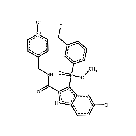 COP(=O)(c1cccc(CF)c1)c1c(C(=O)NCc2cc[n+]([O-])cc2)[nH]c2ccc(Cl)cc12